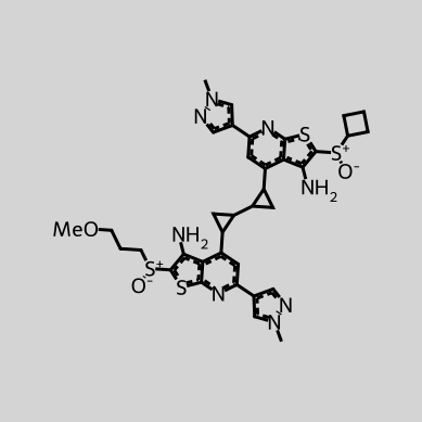 COCCC[S+]([O-])c1sc2nc(-c3cnn(C)c3)cc(C3CC3C3CC3c3cc(-c4cnn(C)c4)nc4sc([S+]([O-])C5CCC5)c(N)c34)c2c1N